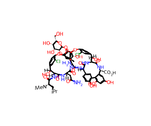 CN[C@@H](CC(C)C)C(=O)N[C@H]1C(=O)N[C@@H](CC(N)=O)C(=O)NC2C(=O)N[C@@H]3C(=O)N[C@@H](C(=O)N[C@@H](C(=O)O)c4cc(O)cc(O)c4-c4cc3ccc4O)[C@@H](O)c3ccc(c(Cl)c3)Oc3cc2cc(c3OC2O[C@@H](CO)[C@@H](O)[C@@H](O)[C@H]2O[C@H]2CC(C)(N)[C@@H](O)[C@@H](C)O2)Oc2ccc(cc2Cl)[C@H]1O